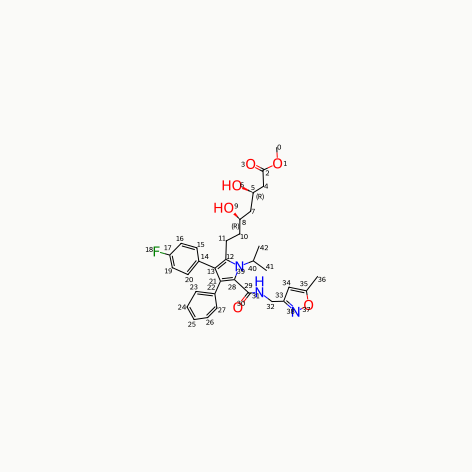 COC(=O)C[C@H](O)C[C@H](O)CCc1c(-c2ccc(F)cc2)c(-c2ccccc2)c(C(=O)NCc2cc(C)on2)n1C(C)C